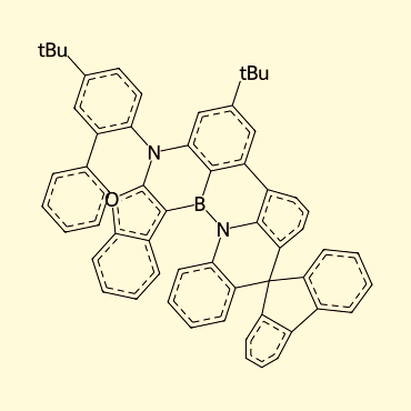 CC(C)(C)c1ccc(N2c3cc(C(C)(C)C)cc4c3B(c3c2oc2ccccc32)N2c3ccccc3C3(c5ccccc5-c5ccccc53)c3cccc-4c32)c(-c2ccccc2)c1